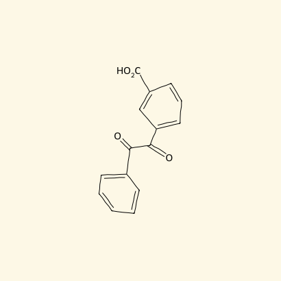 O=C(O)c1cccc(C(=O)C(=O)c2ccccc2)c1